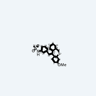 COc1ccc2c(c1)SCc1ccccc1/C2=C\c1cccc(NS(C)(=O)=O)c1